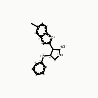 Cc1ccc2oc(C3CNCC3Nc3ccccc3)nc2c1.Cl